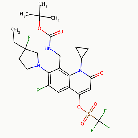 CCC1(F)CCN(c2c(F)cc3c(OS(=O)(=O)C(F)(F)F)cc(=O)n(C4CC4)c3c2CNC(=O)OC(C)(C)C)C1